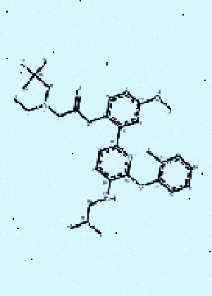 CCN(CC(=O)Cc1ccc(OC)cc1-c1ccc(NCC(C)C)c(Oc2ccccc2C)n1)CC(C)(C)C